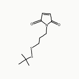 CC(C)(C)SSCCCN1C(=O)C=CC1=O